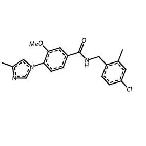 COc1cc(C(=O)NCc2ccc(Cl)cc2C)ccc1-n1cnc(C)c1